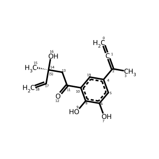 C=C=C(C)c1cc(O)c(O)c(C(=O)C[C@](C)(O)C=C)c1